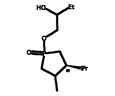 CCC(O)COP1(=O)CC(C)[C@H](C(C)C)C1